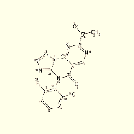 C[S+]([O-])c1ncc2c(=O)n(-c3c(F)cccc3Cl)c3nccn3c2n1